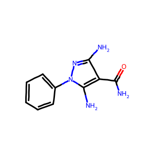 NC(=O)c1c(N)nn(-c2ccccc2)c1N